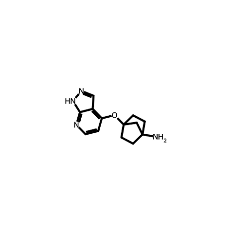 NC12CCC(Oc3ccnc4[nH]ncc34)(CC1)C2